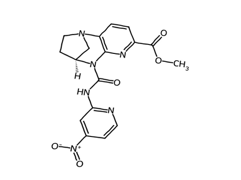 COC(=O)c1ccc2c(n1)N(C(=O)Nc1cc([N+](=O)[O-])ccn1)[C@H]1CCN2C1